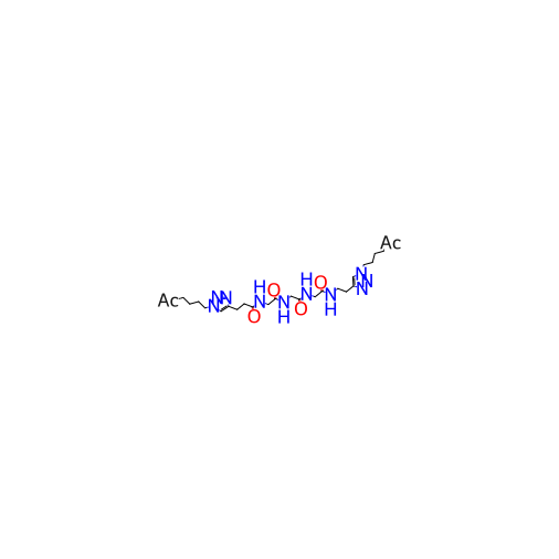 CC(=O)CCCCn1cc(CCNC(=O)CNC(=O)CNC(=O)CNC(=O)CCc2cn(CCCCC(C)=O)nn2)nn1